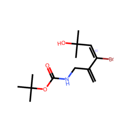 C=C(CNC(=O)OC(C)(C)C)/C(Br)=C\C(C)(C)O